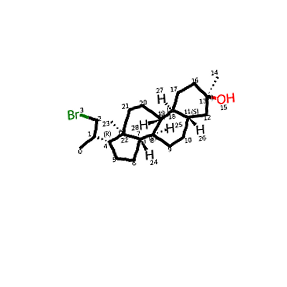 CC(CBr)[C@H]1CC[C@H]2[C@@H]3CC[C@H]4C[C@](C)(O)CC[C@@H]4[C@H]3CC[C@]12C